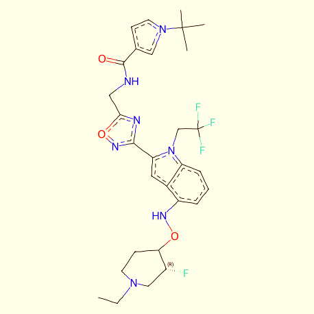 CCN1CCC(ONc2cccc3c2cc(-c2noc(CNC(=O)c4ccn(C(C)(C)C)c4)n2)n3CC(F)(F)F)[C@H](F)C1